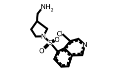 NCC1CCN(S(=O)(=O)c2cccc3cncc(Cl)c23)C1